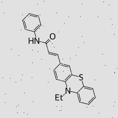 CCN1c2ccccc2Sc2cc(/C=C/C(=O)Nc3ccccc3)ccc21